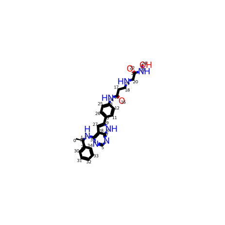 C[C@@H](Nc1ncnc2[nH]c(-c3ccc(NC(=O)CCNCC(=O)NO)cc3)cc12)c1ccccc1